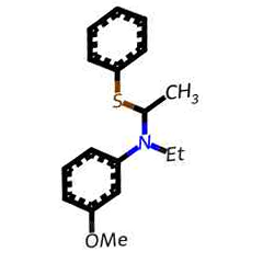 CCN(c1cccc(OC)c1)C(C)Sc1ccccc1